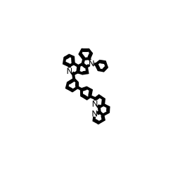 c1ccc(-n2c3ccccc3c3c4c(ccc32)c(-c2cccc(-c3ccc(-c5ccc6ccc7cccnc7c6n5)cc3)c2)nc2ccccc24)cc1